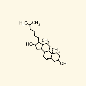 CC(C)CCCCC1C(O)CC2C3CC=C4CC(O)CCC4(C)C3CC[C@]12C